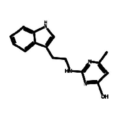 Cc1cc(O)nc(NCCc2c[nH]c3ccccc23)n1